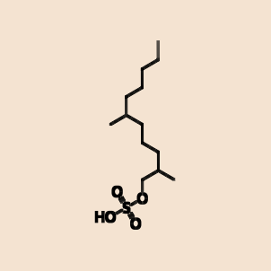 CCCCCC(C)CCCC(C)COS(=O)(=O)O